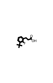 CC(C)(C)c1cccc(CCC(=O)O)c1F